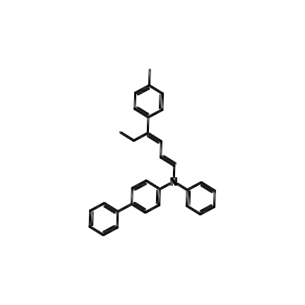 CC/C(=C\C=C\N(c1ccccc1)c1ccc(-c2ccccc2)cc1)c1ccc(C)cc1